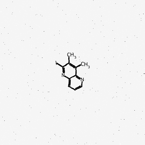 Cc1c(I)nc2cccnc2c1C